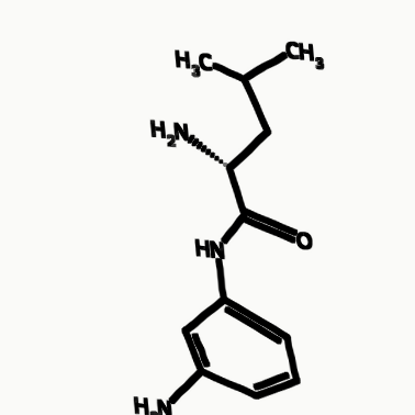 CC(C)C[C@@H](N)C(=O)Nc1cccc(N)c1